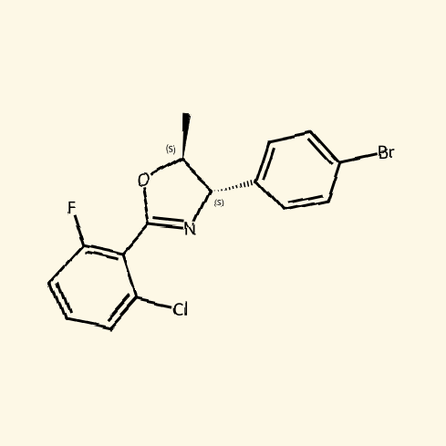 C[C@@H]1OC(c2c(F)cccc2Cl)=N[C@H]1c1ccc(Br)cc1